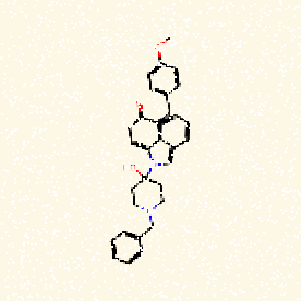 COc1ccc(CC2C(=O)CC=C3N(C4(O)CCN(Cc5ccccc5)CC4)C=C4C=CC=CC432)cc1